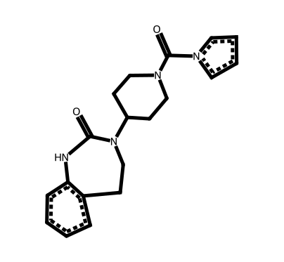 O=C1Nc2ccccc2CCN1C1CCN(C(=O)n2cccc2)CC1